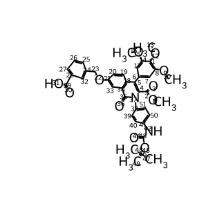 COC(=O)c1c(-c2cc(OC)c(OC)c(OC)c2)c2ccc(OCc3cccc(C(=O)O)c3)cc2c(=O)n1-c1ccc(NC(=O)OC(C)(C)C)cc1